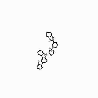 C1=CC2(c3cccc(-c4nc5ccccc5o4)c3)C[C@@H]2C(n2c3ccccc3c3c4sc5ccccc5c4ccc32)=N1